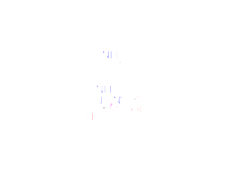 NCCCC[C@H](N)C(=O)O.O=C(O)C1CCN1